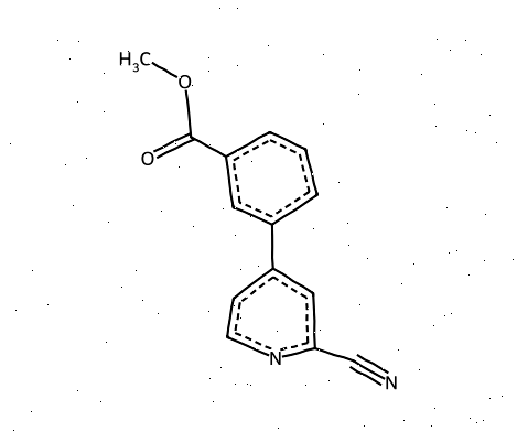 COC(=O)c1cccc(-c2ccnc(C#N)c2)c1